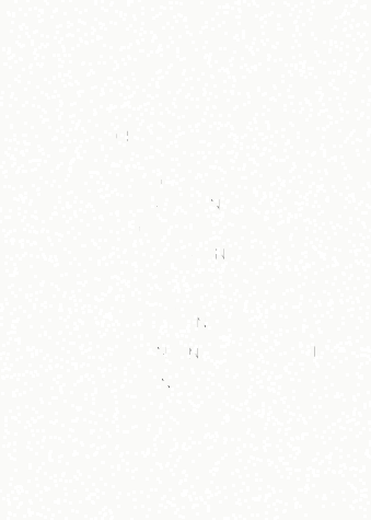 CCOC(=O)c1ncn2c1Cc1c(Cc3ccccc3C#N)nnn1-c1cc(C)ccc1-2